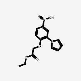 CCOC(=O)COc1ccc([N+](=O)O)cc1-n1cccc1